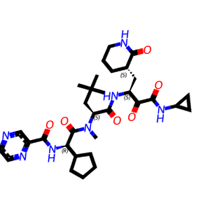 CN(C(=O)[C@H](NC(=O)c1cnccn1)C1CCCC1)[C@@H](CC(C)(C)C)C(=O)N[C@@H](C[C@@H]1CCCNC1=O)C(=O)C(=O)NC1CC1